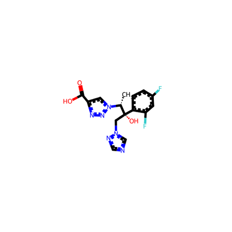 C[C@@H](n1cc(C(=O)O)nn1)[C@](O)(Cn1cncn1)c1ccc(F)cc1F